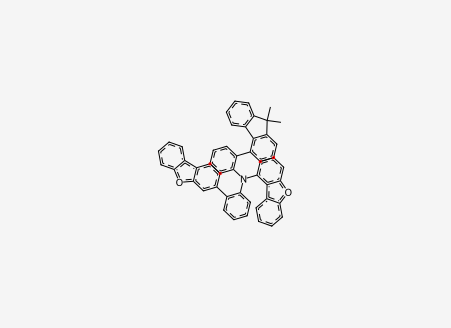 CC1(C)c2ccccc2-c2c(-c3ccccc3N(c3ccccc3-c3ccc4c(c3)oc3ccccc34)c3cccc4oc5ccccc5c34)cccc21